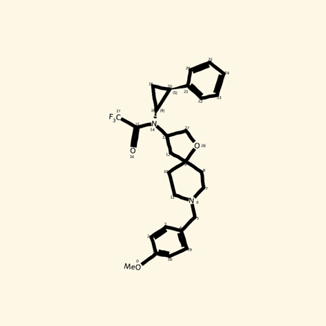 COc1ccc(CN2CCC3(CC2)CC(N(C(=O)C(F)(F)F)[C@@H]2C[C@H]2c2ccccc2)CO3)cc1